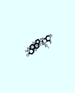 CC(C)CC(NC(=O)[C@H]1CC[C@H]2[C@@H]3CC[C@H]4NC(=O)CC[C@]4(C)[C@H]3CC[C@]12C)C(C)C(F)F